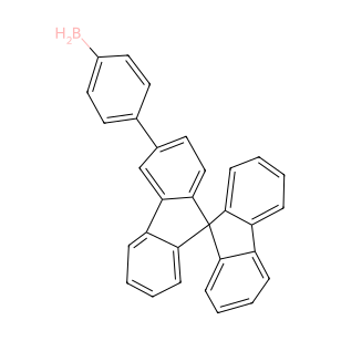 Bc1ccc(-c2ccc3c(c2)-c2ccccc2C32c3ccccc3-c3ccccc32)cc1